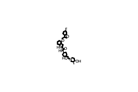 C[C@H]1CN(CC[C@]2(O)CC[C@@H](NC(=O)c3cc4c(OCc5coc6cc(F)ccc56)cccc4[nH]3)CC2)CC[C@@H]1O